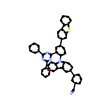 N#Cc1cccc(-c2ccc3c(c2)c2ccccc2n3-c2ccc(-c3ccc4c(c3)sc3ccccc34)cc2-c2nc(-c3ccccc3)nc(-c3ccccc3)n2)c1